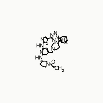 C=CC(=O)N1CCC[C@H](Nc2cc(CN3CCN(C)CC3)cc(Nc3ncc(-c4nnn(-c5ccccc5)n4)s3)n2)C1